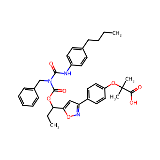 CCCCc1ccc(NC(=O)N(Cc2ccccc2)C(=O)OC(CC)c2cc(-c3ccc(OC(C)(C)C(=O)O)cc3)no2)cc1